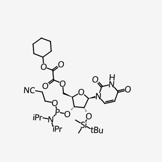 CC(C)N(C(C)C)P(OCCC#N)O[C@H]1[C@@H](O[Si](C)(C)C(C)(C)C)[C@H](n2ccc(=O)[nH]c2=O)O[C@@H]1COC(=O)C(=O)OC1CCCCC1